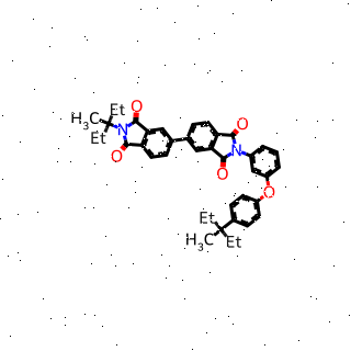 CCC(C)(CC)c1ccc(Oc2cccc(N3C(=O)c4ccc(-c5ccc6c(c5)C(=O)N(C(C)(CC)CC)C6=O)cc4C3=O)c2)cc1